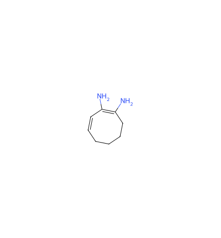 NC1=C(\N)CCCC/C=C\1